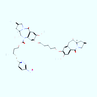 C=C1C[C@H]2[C@H](O)Cc3cc(OCCCCCOc4cc5c(cc4OC)C(=O)N4CC(=C)C[C@H]4[C@H](O)N5C(=O)OCC[C@@H](C)SSc4ccc([N+](=O)[O-])cn4)c(OC)cc3C(=O)N2C1